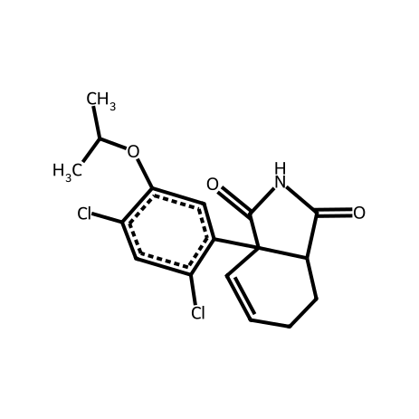 CC(C)Oc1cc(C23C=CCCC2C(=O)NC3=O)c(Cl)cc1Cl